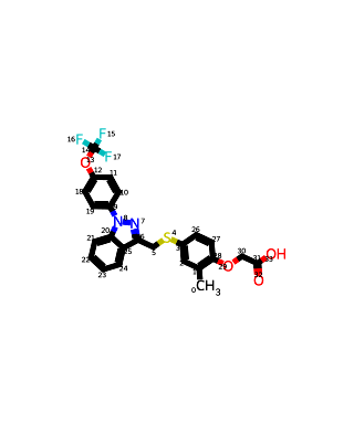 Cc1cc(SCc2nn(-c3ccc(OC(F)(F)F)cc3)c3ccccc23)ccc1OCC(=O)O